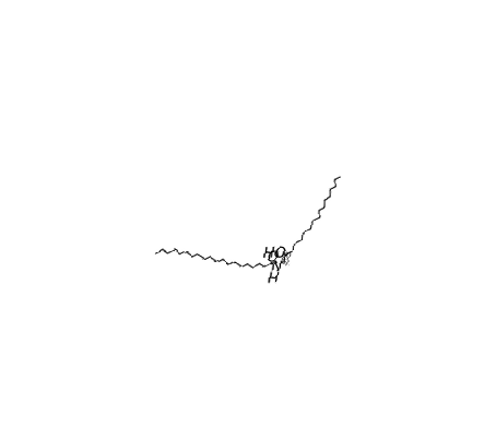 CCCCCCCCCCCCCCCCCCCC(=O)N[C@@H](C)[C@H](O)CCCCCCCCCCCCCCC